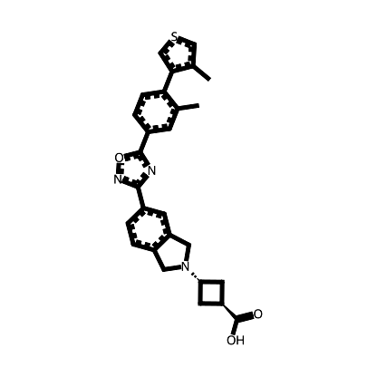 Cc1cc(-c2nc(-c3ccc4c(c3)CN([C@H]3C[C@H](C(=O)O)C3)C4)no2)ccc1-c1cscc1C